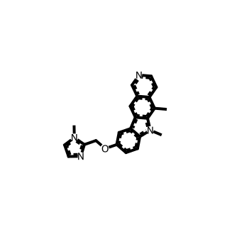 Cc1c2ccncc2cc2c3cc(OCc4nccn4C)ccc3n(C)c12